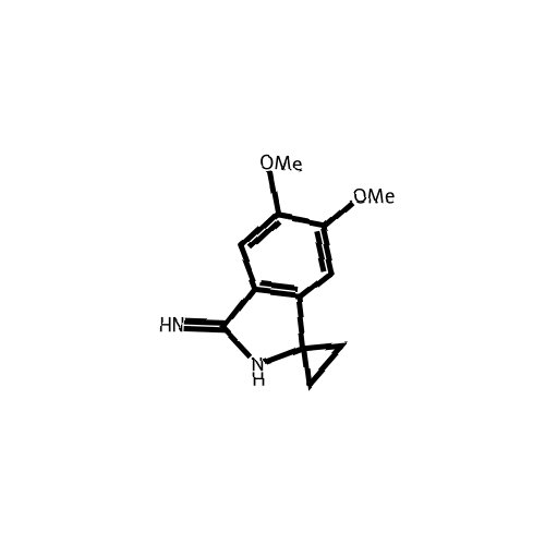 COc1cc2c(cc1OC)C1(CC1)NC2=N